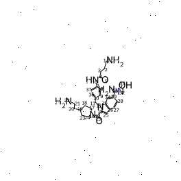 NCCCC(=O)Nc1ccc(Cn2c(C(=O)N3CCC(CCN)CC3)cc3ccc(/C(N)=N/O)cc32)cc1